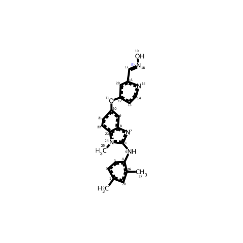 Cc1ccc(Nc2nc3cc(Oc4ccnc(/C=N/O)c4)ccc3n2C)c(C)c1